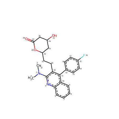 CN(C)c1nc2ccccc2c(-c2ccc(F)cc2)c1CCC1CC(O)CC(=O)O1